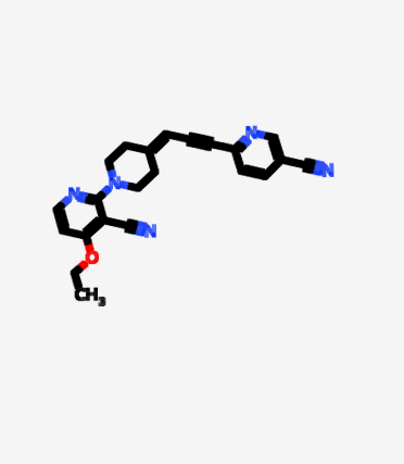 CCOc1ccnc(N2CCC(=CC#Cc3ccc(C#N)cn3)CC2)c1C#N